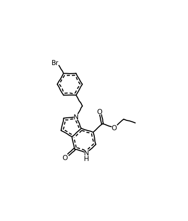 CCOC(=O)c1c[nH]c(=O)c2ccn(Cc3ccc(Br)cc3)c12